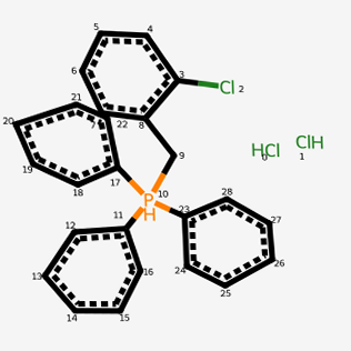 Cl.Cl.Clc1ccccc1C[PH](c1ccccc1)(c1ccccc1)c1ccccc1